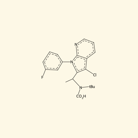 CC(c1c(Cl)c2cccnc2n1-c1cccc(F)c1)N(C(=O)O)C(C)(C)C